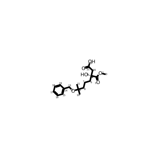 COC(=O)[C@@](O)(CCCC(C)(C)OCc1ccccc1)CC(=O)O